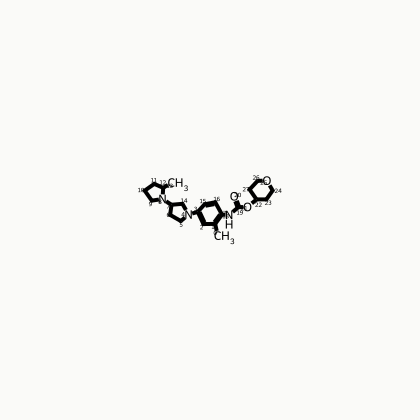 Cc1cc(N2CCC(N3CCCC3C)C2)ccc1NC(=O)OC1CCOCC1